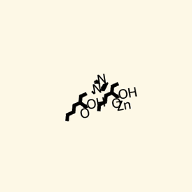 CCCCC(CC)C(=O)O.CCCCC(CC)C(=O)O.Cn1ccnc1.[Zn]